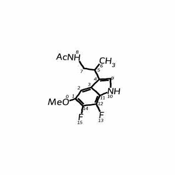 COc1cc2c(C(C)CNC(C)=O)c[nH]c2c(F)c1F